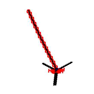 CCCCCCCCCCCCCCCCC(CCCCCCCCCCCCCCCC)(N(CCOCCOCCOCCOCCOCCOCCOCCOCCOCCOCCOCCOCCOCCOCCOCCOCCOCCOCCOCCOCCOCCOCCOCCOC)C(CCCCCCCCCCCCCCCC)(CCCCCCCCCCCCCCCC)P(=O)(O)O)P(=O)(O)O